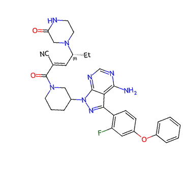 CC[C@H](C=C(C#N)C(=O)N1CCCC(n2nc(-c3ccc(Oc4ccccc4)cc3F)c3c(N)ncnc32)C1)N1CCNC(=O)C1